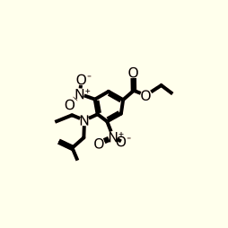 C=C(C)CN(CC)c1c([N+](=O)[O-])cc(C(=O)OCC)cc1[N+](=O)[O-]